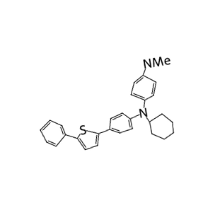 CNc1ccc(N(c2ccc(-c3ccc(-c4ccccc4)s3)cc2)C2CCCCC2)cc1